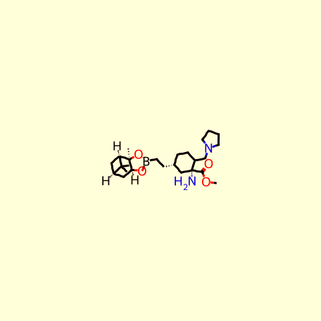 COC(=O)[C@@]1(N)C[C@H](CCB2O[C@H]3C[C@H]4C[C@H](C4(C)C)[C@@]3(C)O2)CCC1CN1CCCC1